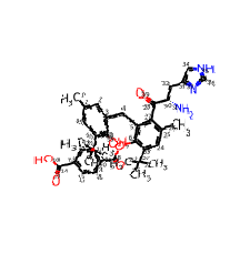 Cc1cc(Cc2c(OC(=O)c3ccc(C(=O)O)cc3)c(C(C)(C)C)cc(C)c2C(=O)[C@@H](N)Cc2c[nH]cn2)c(O)c(C(C)(C)C)c1